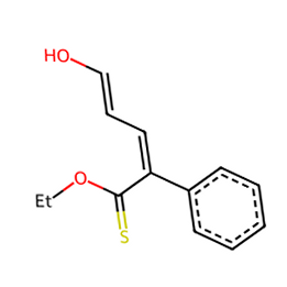 CCOC(=S)C(=CC=CO)c1ccccc1